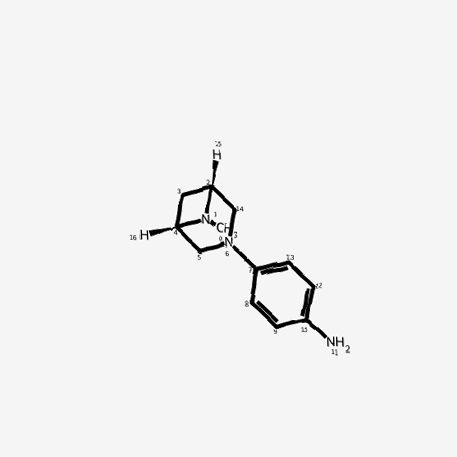 CN1[C@@H]2C[C@H]1CN(c1ccc(N)cc1)C2